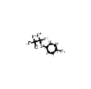 Fc1ccc(SC(F)(F)C(F)(F)Cl)cc1